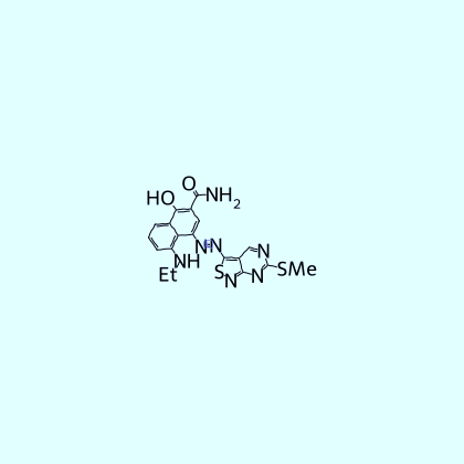 CCNc1cccc2c(O)c(C(N)=O)cc(/N=N/c3snc4nc(SC)ncc34)c12